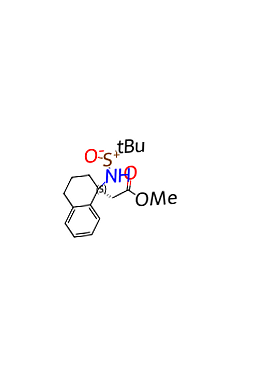 COC(=O)C[C@@]1(N[S+]([O-])C(C)(C)C)CCCc2ccccc21